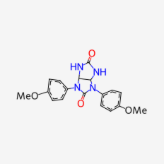 COc1ccc(N2C(=O)N(c3ccc(OC)cc3)C3NC(=O)NC32)cc1